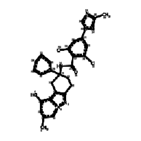 Cc1cc(O)c2c3c(nn2c1)CCC(NC(=O)c1c(Cl)cc(-n2cnc(C)n2)cc1Cl)(c1ccccc1)C3